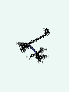 COCC[N+]1=C(/C=C/C=C/C=C/C=C2/N(CCOCCOCCOCCOCCC(=O)ON3C(=O)CCC3=O)c3ccc4c(S(=O)(=O)O)cc(S(=O)(=O)O)cc4c3C2(C)C)C(C)(CCCS(=O)(=O)O)c2c1ccc1c(S(=O)(=O)O)cc(S(=O)(=O)O)cc21